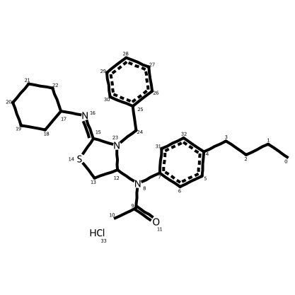 CCCCc1ccc(N(C(C)=O)C2CSC(=NC3CCCCC3)N2Cc2ccccc2)cc1.Cl